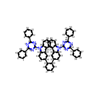 c1ccc(-c2nc(-c3ccccc3)nc(-n3c4ccccc4c4cc(-c5ccccc5-c5ccc6c(c5)c5ccccc5n6-c5nc(-c6ccccc6)nc(-c6ccccc6)n5)ccc43)n2)cc1